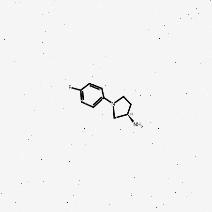 N[C@@H]1CCN(c2ccc(F)cc2)C1